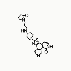 O=C1CCCN1CCCNC1CCN(c2nc3c4ccncc4c4c(=O)[nH]ccc4c3s2)CC1